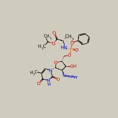 Cc1cn([C@@H]2O[C@H](CO[P@@](=O)(N[C@@H](C)C(=O)OC(C)C)Oc3ccccc3)[C@@H](O)[C@H]2N=[N+]=[N-])c(=O)[nH]c1=O